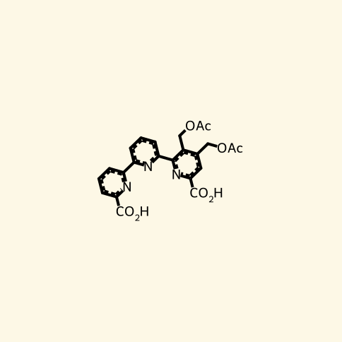 CC(=O)OCc1cc(C(=O)O)nc(-c2cccc(-c3cccc(C(=O)O)n3)n2)c1COC(C)=O